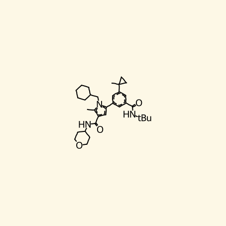 Cc1c(C(=O)NC2CCOCC2)cc(-c2cc(C(=O)NC(C)(C)C)cc(C3(C)CC3)c2)n1CC1CCCCC1